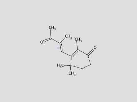 CC(=O)/C(C)=C/C1=C(C)C(=O)CCC1(C)C